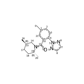 Cc1ccc(-n2nccn2)c(C(=O)N2C[C@H](C)CC[C@H]2C)c1